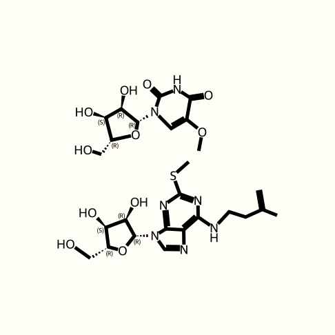 C=C(C)CCNc1nc(SC)nc2c1ncn2[C@@H]1O[C@H](CO)[C@@H](O)[C@H]1O.COc1cn([C@@H]2O[C@H](CO)[C@@H](O)[C@H]2O)c(=O)[nH]c1=O